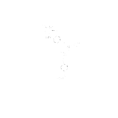 CCCCOc1ccc(OC[C@@H](O)CN(CCc2ccc(NC3SC(=O)NC3=O)cc2)C(=O)O)cc1